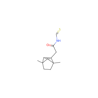 CC12C=C(CC(=O)NC=S)C(C)(CC1)C2